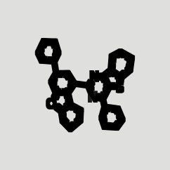 c1ccc(-c2cc(-c3nc(-c4ccccc4)c4sc5ccccc5c4n3)c3c(c2)oc2ccccc23)cc1